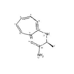 C[C@H](NC1=CC=CC=CN1)C(N)=O